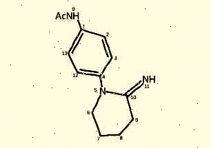 CC(=O)Nc1ccc(N2CCCCC2=N)cc1